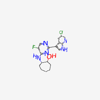 OC1CCCCCC1Nc1nc(-c2c[nH]c3ncc(Cl)cc23)ncc1F